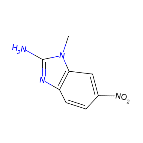 Cn1c(N)nc2ccc([N+](=O)[O-])cc21